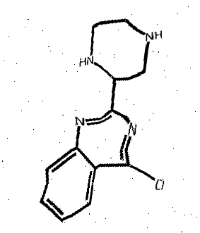 Clc1nc(C2CNCCN2)nc2ccccc12